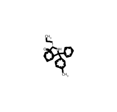 CCC[C@@H](C=O)NC(c1ccccc1)(c1ccccc1)c1ccc(C)cc1